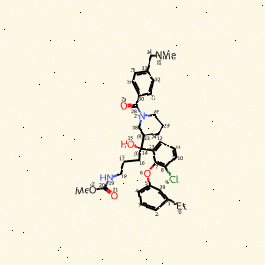 CCc1cccc(Oc2c(Cl)cccc2[C@](O)(CCCNC(=O)OC)[C@@H]2CCCN(C(=O)c3ccc(CNC)cc3)C2)c1